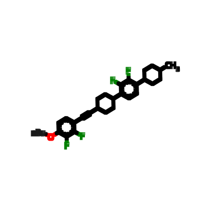 CCCCOc1ccc(C#CC2CCC(c3ccc(C4CCC(C)CC4)c(F)c3F)CC2)c(F)c1F